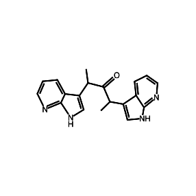 CC(C(=O)C(C)c1c[nH]c2ncccc12)c1c[nH]c2ncccc12